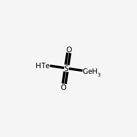 O=[S](=O)([GeH3])[TeH]